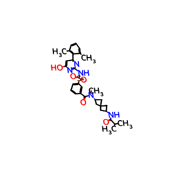 Cc1cccc(C)c1-c1cc(O)nc(NS(=O)(=O)c2cccc(C(=O)N(C)[C@H]3CC4(C[C@H](NC(=O)C(C)C)C4)C3)c2)n1